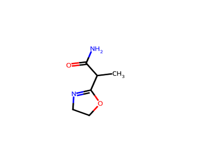 CC(C(N)=O)C1=NCCO1